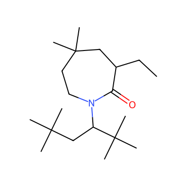 CCC1CC(C)(C)CCN(C(CC(C)(C)C)C(C)(C)C)C1=O